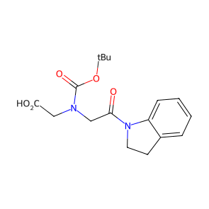 CC(C)(C)OC(=O)N(CC(=O)O)CC(=O)N1CCc2ccccc21